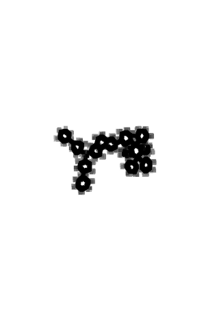 c1ccc(-c2ccc(N(c3ccc(-c4ccccc4)cc3)c3ccc4c(ccc5cc(-c6ccc7c(c6)C6(c8ccccc8-7)c7ccccc7C(c7ccccc7)(c7ccccc7)c7ccccc76)ccc54)c3)cc2)cc1